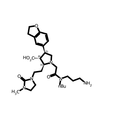 CCCCN(CCCN)C(=O)CN1C[C@H](c2ccc3c(c2)CCO3)[C@@H](C(=O)O)[C@@H]1CCN1CCN(C)C1=O